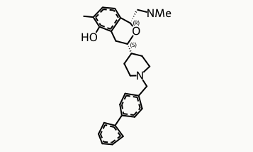 CNC[C@@H]1O[C@H](C2CCN(Cc3ccc(-c4ccccc4)cc3)CC2)Cc2c1ccc(C)c2O